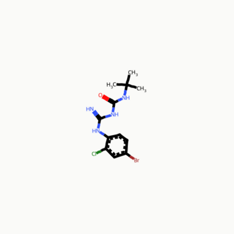 CC(C)(C)NC(=O)NC(=N)Nc1ccc(Br)cc1Cl